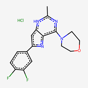 Cc1nc(N2CCOCC2)c2nc(-c3ccc(F)c(F)c3)cc-2[nH]1.Cl